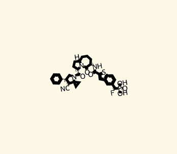 N#C[C@H]1[C@H](c2ccccc2)CN(C(=O)[C@@H]2CC[C@@H]3CCC[C@H](NC(=O)c4cc5cc([C@@H](F)P(=O)(O)O)ccc5s4)C(=O)N32)C12CC2